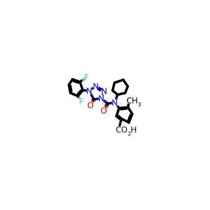 Cc1ccc(C(=O)O)cc1N(C(=O)n1nnn(-c2c(F)cccc2F)c1=O)C1CCCCC1